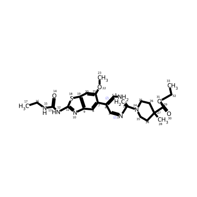 C=C(/N=C\C(=C/N)c1cc2nc(NC(=O)NCC)sc2cc1OC)N1CCC(C)(C(=O)OCC)CC1